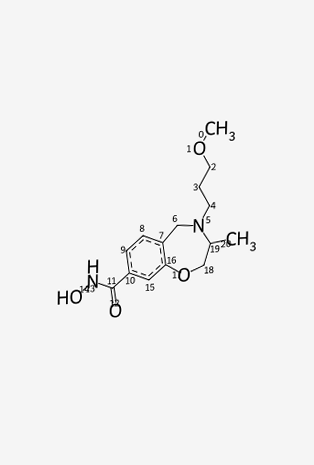 COCCCN1Cc2ccc(C(=O)NO)cc2OCC1C